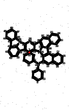 c1ccc(N(c2ccccc2)c2cc3ccccc3c3c4c5ccccc5cc5c6nc7c(cc6n(c23)c54)c2cccc3c4ccccc4n7c32)cc1